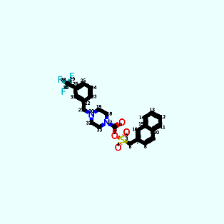 O=C(OS(=O)(=O)Cc1ccc2ccccc2c1)N1CCN(Cc2cccc(C(F)(F)F)c2)CC1